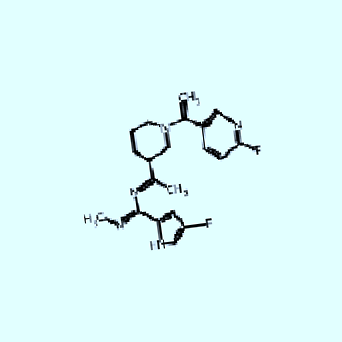 C=C(c1ccc(F)nc1)N1CCC[C@H](/C(C)=N/C(=N\C)c2cc(F)c[nH]2)C1